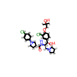 CC(C)(O)COc1ccc([C@@H](O)[C@@H](CN2CCCC2)NC(=O)[C@@H]2CCN(c3ccc(Cl)cc3)C2)cc1Cl